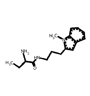 CCC(N)C(=O)NCCCc1cc2ccccc2n1C